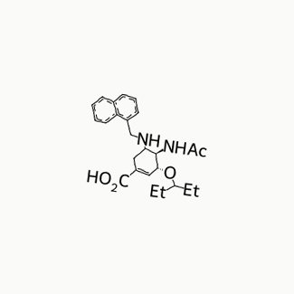 CCC(CC)O[C@@H]1C=C(C(=O)O)C[C@H](NCc2cccc3ccccc23)[C@H]1NC(C)=O